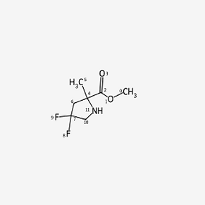 COC(=O)C1(C)CC(F)(F)CN1